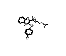 CN(C)CCCNC(=O)c1nc2ccccc2nc1Nc1ccc(Cl)cc1